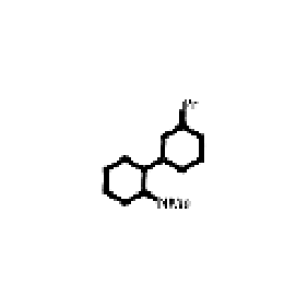 CNC1CCCCC1C1CCCC(C(C)C)C1